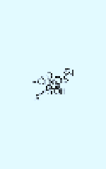 CC(C)(C)C#Cc1cc(N(C(=O)[C@H]2CC[C@H](C)CC2)[C@H]2CC[C@H](SC3=NC=CC3)CC2)c(C(=O)O)s1